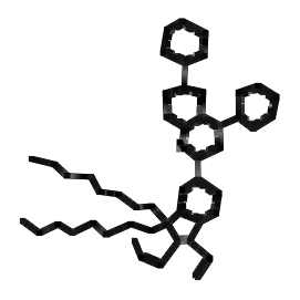 C=CC1=C(/C=C\C)C(CCCCCCCC)(CCCCCCCC)c2cc(-c3cc(-c4ccccc4)c4cc(-c5ccccc5)ccc4n3)ccc21